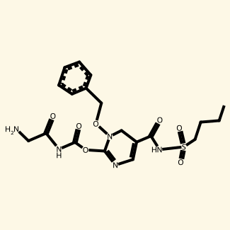 CCCCS(=O)(=O)NC(=O)C1=CN=C(OC(=O)NC(=O)CN)N(OCc2ccccc2)C1